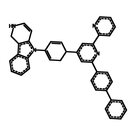 C1=Cc2c(c3ccccc3n2C2=CCC(c3cc(-c4ccc(-c5ccccc5)cc4)nc(-c4ccccn4)c3)C=C2)CN1